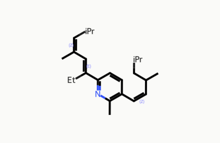 CC/C(=C\C(C)=C/C(C)C)c1ccc(/C=C\C(C)CC(C)C)c(C)n1